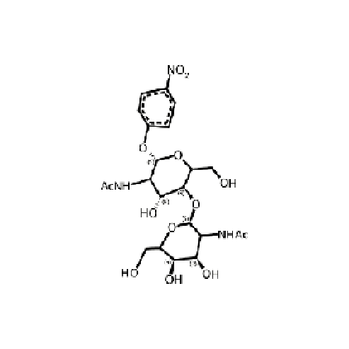 CC(=O)NC1[C@H](Oc2ccc([N+](=O)[O-])cc2)OC(CO)[C@@H](O[C@@H]2OC(CO)[C@H](O)[C@H](O)C2NC(C)=O)[C@@H]1O